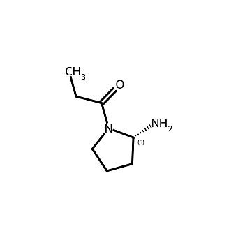 CCC(=O)N1CCC[C@H]1N